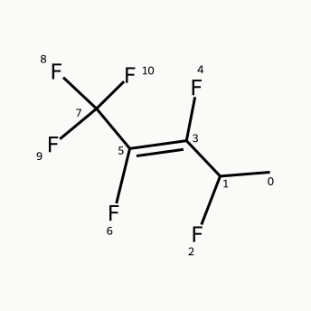 CC(F)C(F)=C(F)C(F)(F)F